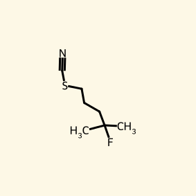 CC(C)(F)CCCSC#N